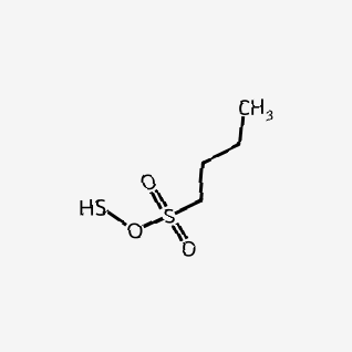 CCCCS(=O)(=O)OS